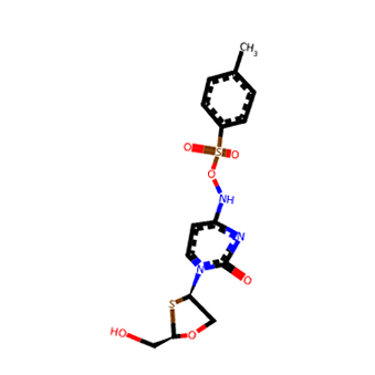 Cc1ccc(S(=O)(=O)ONc2ccn([C@H]3CO[C@@H](CO)S3)c(=O)n2)cc1